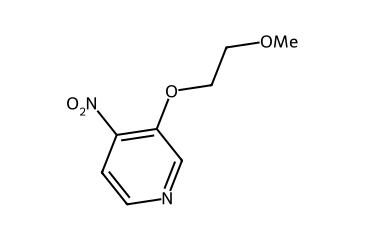 COCCOc1cnccc1[N+](=O)[O-]